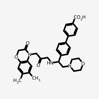 Cc1cc2c(cc1C)N(CC(=O)CNC(CN1CCOCC1)c1ccc(-c3ccc(C(=O)O)cc3)cc1)C(=O)CO2